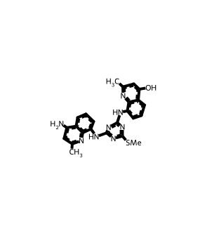 CSc1nc(Nc2cccc3c(N)cc(C)nc23)nc(Nc2cccc3c(O)cc(C)nc23)n1